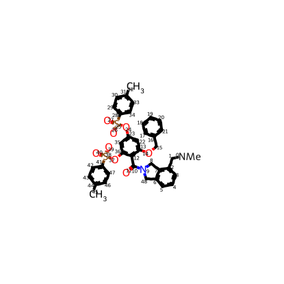 CNCc1cccc2c1CN(C(=O)c1c(OCc3ccccc3)cc(OS(=O)(=O)c3ccc(C)cc3)cc1OS(=O)(=O)c1ccc(C)cc1)C2